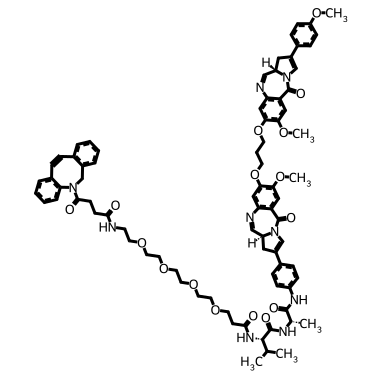 COc1ccc(C2=CN3C(=O)c4cc(OC)c(OCCCOc5cc6c(cc5OC)C(=O)N5C=C(c7ccc(NC(=O)[C@H](C)NC(=O)[C@@H](NC(=O)CCOCCOCCOCCOCCNC(=O)CCC(=O)N8Cc9ccccc9C#Cc9ccccc98)C(C)C)cc7)C[C@H]5C=N6)cc4N=C[C@@H]3C2)cc1